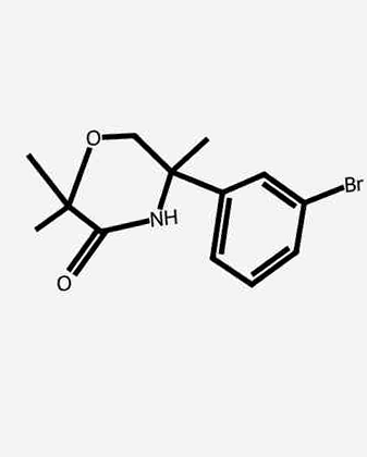 CC1(C)OCC(C)(c2cccc(Br)c2)NC1=O